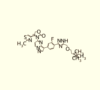 Cc1nc([C@H]2COC(=O)N2c2ccn3ncc(-c4ccc(-c5n[nH]c(COCC[Si](C)(C)C)n5)c(F)c4)c3n2)cs1